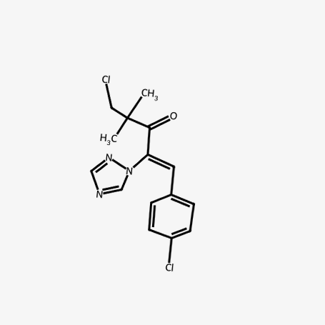 CC(C)(CCl)C(=O)/C(=C/c1ccc(Cl)cc1)n1cncn1